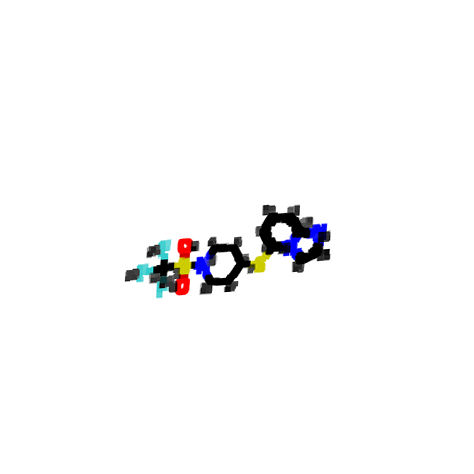 O=S(=O)(N1CCC(Sc2cccc3nccn23)CC1)C(F)(F)F